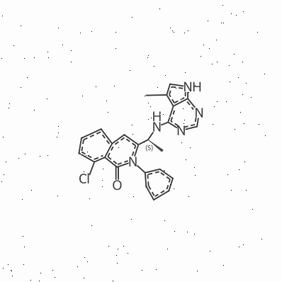 Cc1c[nH]c2ncnc(N[C@@H](C)c3cc4cccc(Cl)c4c(=O)n3-c3ccccc3)c12